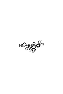 O=C(NC1CCCNC1)c1sc2nccc3c2c1NC(=O)N3c1ccc(Cl)c(C(F)(F)F)c1